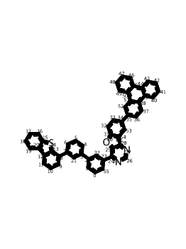 c1cc(-c2cccc(-c3cccc4c3sc3ccccc34)c2)cc(-c2ncnc3c2oc2ccc(-c4ccc5c6ccccc6c6ccccc6c5c4)cc23)c1